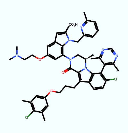 Cc1cccc(Cn2c(C(=O)O)cc3cc(OCCN(C)C)cc(N4C[C@@H](C)n5c(c(CCCOc6cc(C)c(Cl)c(C)c6)c6ccc(Cl)c(-c7c(C)ncnc7C)c65)C4=O)c32)n1